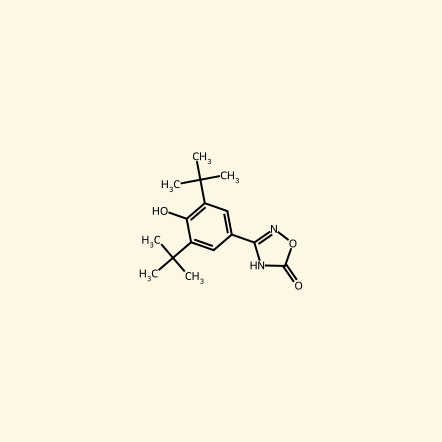 CC(C)(C)c1cc(-c2noc(=O)[nH]2)cc(C(C)(C)C)c1O